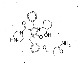 CC(COc1cccc(Cn2c(C(=O)N3CCNCC3)c(-c3ccccc3)n(C3CCCC[C@H]3O)c2=O)c1)CC(N)=O